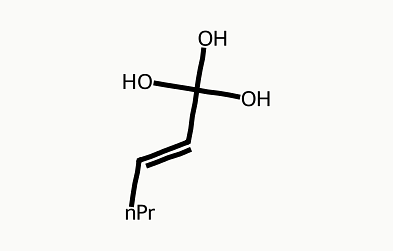 CCCC=CC(O)(O)O